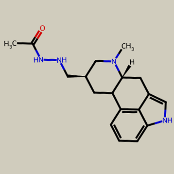 CC(=O)NNC[C@@H]1CC2c3cccc4[nH]cc(c34)C[C@H]2N(C)C1